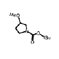 COC1CCN(C(=O)OC(C)(C)C)C1